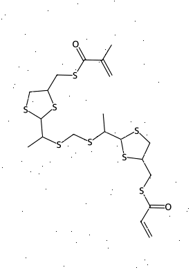 C=CC(=O)SCC1CSC(C(C)SCSC(C)C2SCC(CSC(=O)C(=C)C)S2)S1